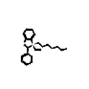 C=C[N+]1(CCCCCCC)c2ccccc2SC1c1ccccc1.[I-]